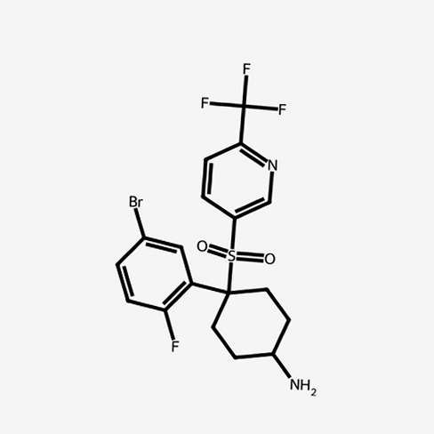 NC1CCC(c2cc(Br)ccc2F)(S(=O)(=O)c2ccc(C(F)(F)F)nc2)CC1